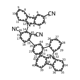 N#Cc1ccc2c(c1)c1ccccc1n2-c1c(C#N)ccc(-c2cccc(-c3ccccc3-n3c4ccccc4c4ccccc43)c2)c1C#N